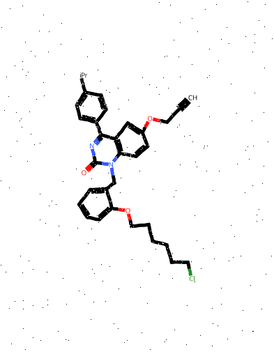 C#CCOc1ccc2c(c1)c(-c1ccc(C(C)C)cc1)nc(=O)n2Cc1ccccc1OCCCCCCCl